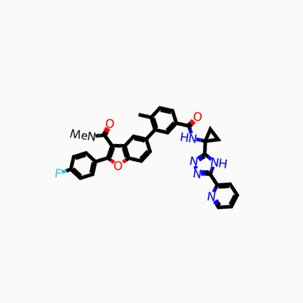 CNC(=O)c1c(-c2ccc(F)cc2)oc2ccc(-c3cc(C(=O)NC4(c5nnc(-c6ccccn6)[nH]5)CC4)ccc3C)cc12